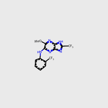 COc1nc2[nH]c(C(F)(F)F)nc2nc1Nc1ccccc1C(F)(F)F